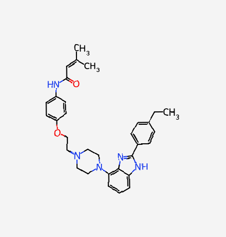 CCc1ccc(-c2nc3c(N4CCN(CCOc5ccc(NC(=O)C=C(C)C)cc5)CC4)cccc3[nH]2)cc1